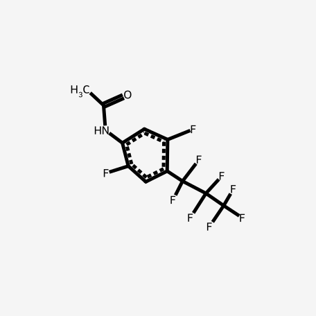 CC(=O)Nc1cc(F)c(C(F)(F)C(F)(F)C(F)(F)F)cc1F